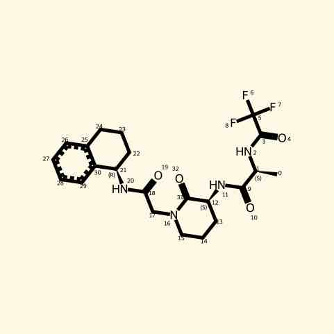 C[C@H](NC(=O)C(F)(F)F)C(=O)N[C@H]1CCCN(CC(=O)N[C@@H]2CCCc3ccccc32)C1=O